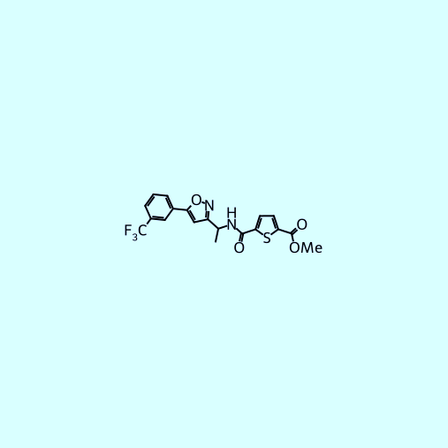 COC(=O)c1ccc(C(=O)NC(C)c2cc(-c3cccc(C(F)(F)F)c3)on2)s1